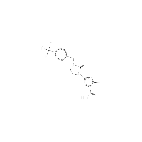 Cc1nc(N2CCN(Cc3ccc(C(F)(F)F)nc3)C2=O)sc1C(=O)O